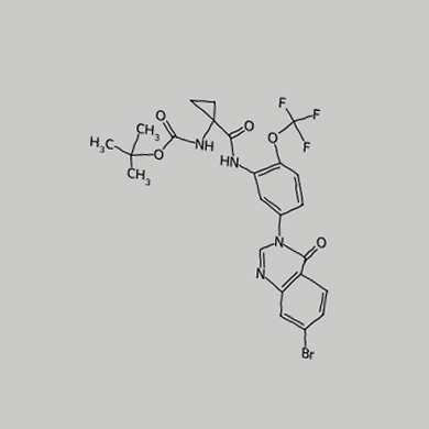 CC(C)(C)OC(=O)NC1(C(=O)Nc2cc(-n3cnc4cc(Br)ccc4c3=O)ccc2OC(F)(F)F)CC1